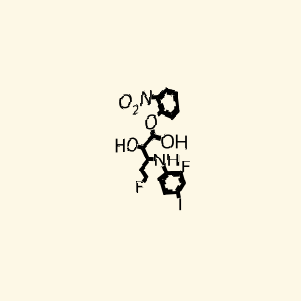 O=[N+]([O-])c1ccccc1OC(O)C(O)C(CCF)Nc1ccc(I)cc1F